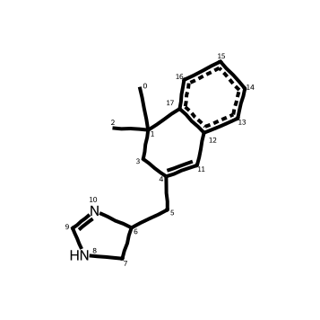 CC1(C)CC(CC2CNC=N2)=Cc2ccccc21